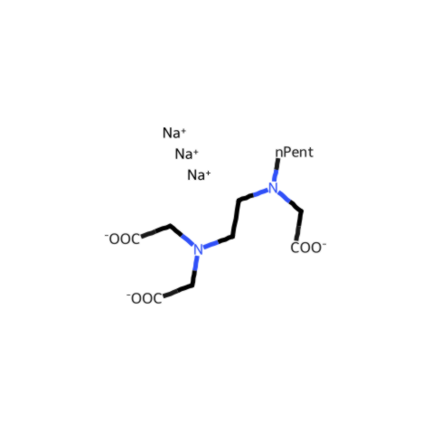 CCCCCN(CCN(CC(=O)[O-])CC(=O)[O-])CC(=O)[O-].[Na+].[Na+].[Na+]